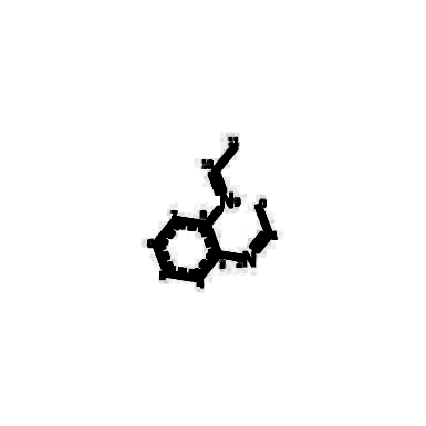 C/C=N\c1ccccc1/N=C/C